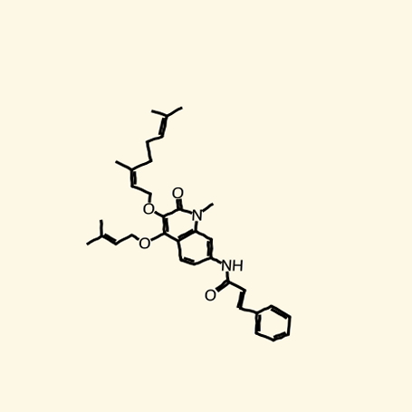 CC(C)=CCCC(C)=CCOc1c(OCC=C(C)C)c2ccc(NC(=O)C=Cc3ccccc3)cc2n(C)c1=O